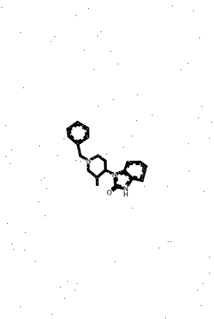 CC1CN(Cc2ccccc2)CCC1n1c(=O)[nH]c2ccccc21